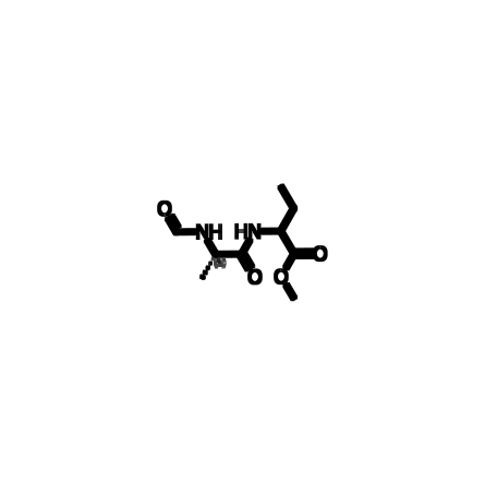 CCC(NC(=O)[C@H](C)NC=O)C(=O)OC